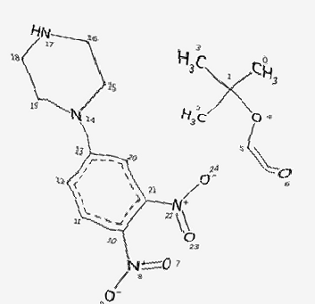 CC(C)(C)OC=O.O=[N+]([O-])c1ccc(N2CCNCC2)cc1[N+](=O)[O-]